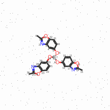 Cc1nc2cc(OB(Oc3ccc4oc(C)nc4c3)Oc3ccc4oc(C)nc4c3)ccc2o1